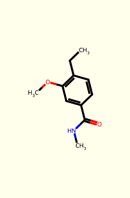 CCc1ccc(C(=O)NC)cc1OC